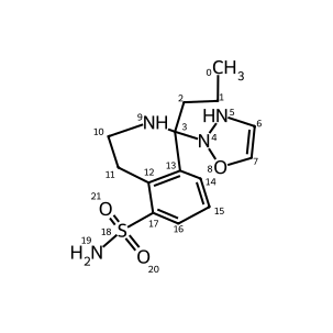 CCCC1(N2NC=CO2)NCCc2c1cccc2S(N)(=O)=O